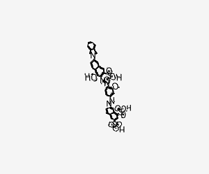 COc1cc(N=Nc2ccc3cc(S(=O)(=O)O)cc(S(=O)(=O)O)c3c2)ccc1N=Nc1c(S(=O)(=O)O)cc2cc(N3Cc4ccccc4C3)ccc2c1O